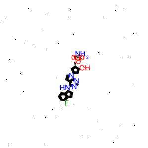 NS(=O)(=O)OC[C@@H]1C[C@@H](n2ccc3c(N[C@H]4CCc5c(F)cccc54)ncnc32)C[C@@H]1O